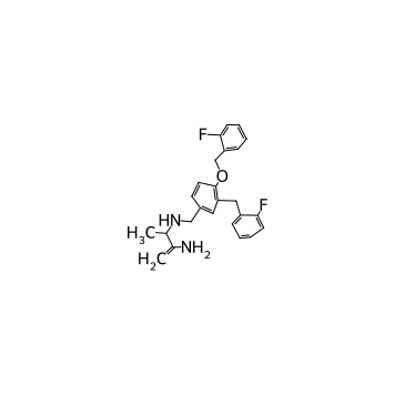 C=C(N)C(C)NCc1ccc(OCc2ccccc2F)c(Cc2ccccc2F)c1